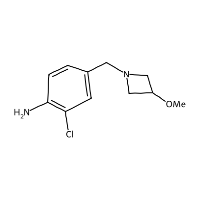 COC1CN(Cc2ccc(N)c(Cl)c2)C1